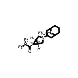 CCOC(=O)N1C2CCCC1CC(N1C[C@@H]3[C@H](C1)[C@@H]3C(=O)N(CC)CC)C2